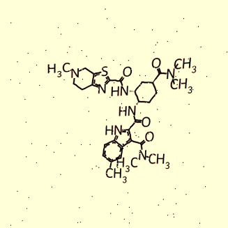 Cc1ccc2[nH]c(C(=O)N[C@H]3CC[C@H](C(=O)N(C)C)C[C@H]3NC(=O)c3nc4c(s3)CN(C)CC4)c(C(=O)N(C)C)c2c1